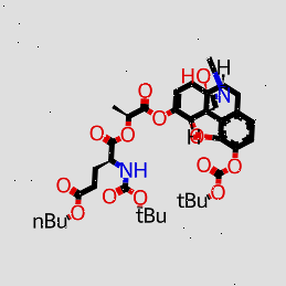 CCCCOC(=O)CC[C@H](NC(=O)OC(C)(C)C)C(=O)O[C@@H](C)C(=O)OC1=CC[C@@]2(O)[C@H]3Cc4ccc(OC(=O)OC(C)(C)C)c5c4[C@@]2(CCN3C)[C@H]1O5